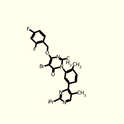 Cc1ccc(-c2nc(C(C)C)ncc2C)cc1-n1c(C)nc(OCc2ccc(F)cc2F)c(Br)c1=O